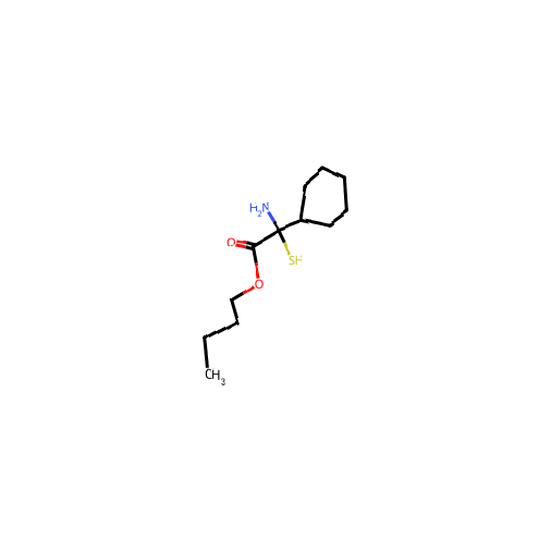 CCCCOC(=O)C(N)(S)C1CCCCC1